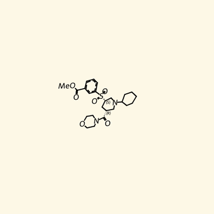 COC(=O)c1cccc(S(=O)(=O)[C@H]2C[C@@H](C(=O)N3CCOCC3)CN(C3CCCCC3)C2)c1